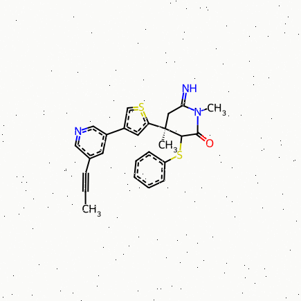 CC#Cc1cncc(-c2csc([C@@]3(C)CC(=N)N(C)C(=O)C3Sc3ccccc3)c2)c1